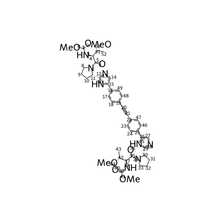 COC(=O)N[C@H](C(=O)N1CCC[C@H]1c1ncc(-c2ccc(C#Cc3ccc(-c4cnc([C@@H]5CCCN5C(=O)[C@@H](NC(=O)OC)[C@@H](C)OC)[nH]4)cc3)cc2)[nH]1)[C@@H](C)OC